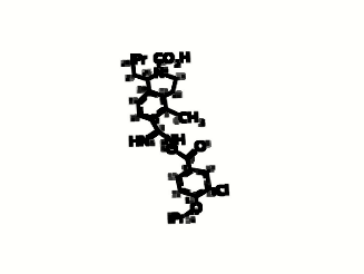 Cc1c(C(=N)NOC(=O)c2ccc(OC(C)C)c(Cl)c2)ccc2c1CCN(C(=O)O)C2CC(C)C